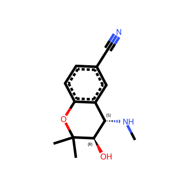 CN[C@H]1c2cc(C#N)ccc2OC(C)(C)[C@@H]1O